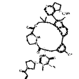 C=CC(=O)N1CC[C@H](C(=O)N(C)[C@H](C(=O)N[C@H]2Cc3cc(O)cc(c3)-c3ccc4c(c3)c(c(-c3ccnc5c3[C@@H](OC)CC5)n4CC)CC(C)(C)COC(=O)[C@@H]3CCCN(N3)C2=O)C(C)C)C1